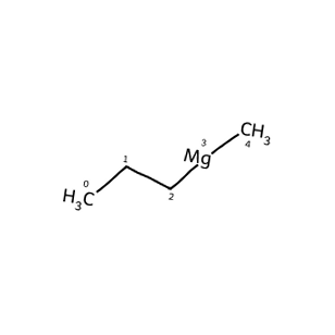 CC[CH2][Mg][CH3]